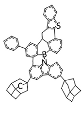 c1ccc(-c2cc3c4c(c2)C2Cc5c(sc6ccccc56)-c5cccc(c52)B4n2c4ccc(C56CC7CC8CC(C5)C87C6)cc4c4cc(C56CC7CC8CC(C5)C87C6)cc-3c42)cc1